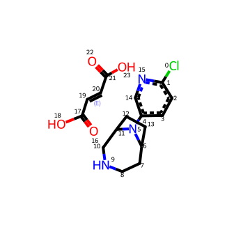 Clc1ccc(N2C3CCNCC2CC3)cn1.O=C(O)/C=C/C(=O)O